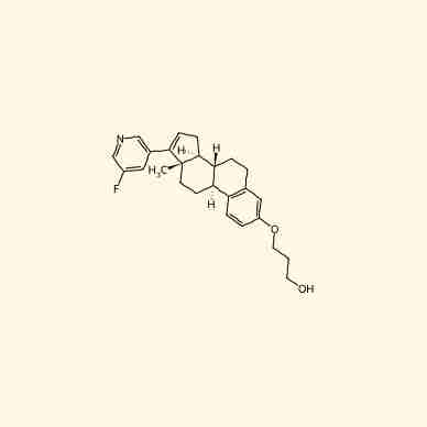 C[C@]12CC[C@@H]3c4ccc(OCCCO)cc4CC[C@H]3[C@@H]1CC=C2c1cncc(F)c1